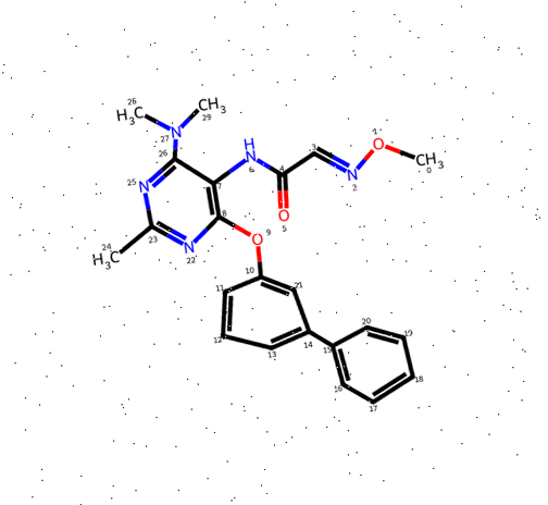 CON=CC(=O)Nc1c(Oc2cccc(-c3ccccc3)c2)nc(C)nc1N(C)C